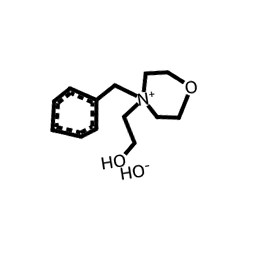 OCC[N+]1(Cc2ccccc2)CCOCC1.[OH-]